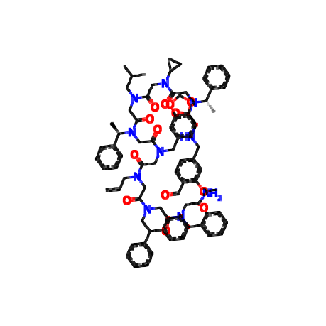 C=CCN(CC(=O)N(CC(=O)N(CC(N)=O)Cc1ccccc1)CC(c1ccccc1)c1ccccc1)C(=O)CN(Cc1ccc2c(c1)OCO2)C(=O)CN(C(=O)CN(CC(C)C)C(=O)CN(C(=O)CN(C(=O)CNCc1ccc(C=O)c(OC)c1)[C@@H](C)c1ccccc1)C1CC1)[C@H](C)c1ccccc1